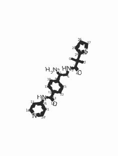 CC(C)(C(=O)NCC(N)c1ccc(C(=O)Nc2ccncc2)cc1)c1cccs1